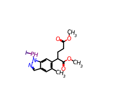 COC(=O)CCC(C(=O)OC)c1cc2c(cnn2PI)cc1C